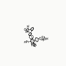 CCCc1c(Cc2ccc(-c3ccccc3-c3noc(=O)[nH]3)cc2)c(=O)n(C2CCC(OCC(C)(O)CC)CC2)c2ncnn12